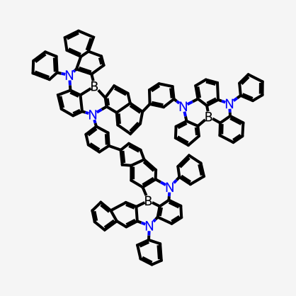 c1ccc(N2c3ccccc3B3c4ccccc4N(c4cccc(-c5cccc6c7c(ccc56)B5c6ccc8ccccc8c6N(c6ccccc6)c6cccc(c65)N7c5cccc(-c6ccc7cc8c(cc7c6)B6c7cc9ccccc9cc7N(c7ccccc7)c7cccc(c76)N8c6ccccc6)c5)c4)c4cccc2c43)cc1